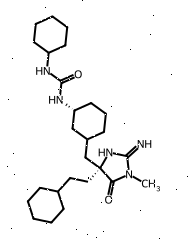 CN1C(=N)N[C@](CCC2CCCCC2)(CC2CCC[C@@H](NC(=O)NC3CCCCC3)C2)C1=O